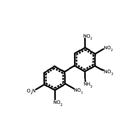 Nc1c(-c2ccc([N+](=O)[O-])c([N+](=O)[O-])c2[N+](=O)[O-])cc([N+](=O)[O-])c([N+](=O)[O-])c1[N+](=O)[O-]